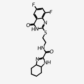 O=C(NCCSc1nc2c(F)cc(F)cc2c(=O)[nH]1)C1=NC2CCCCC2N1